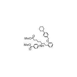 COC(=O)CCCCC(CCc1ccccc1OCc1ccc(C2CCCCC2)cc1)Nc1ccc(C(=O)OC)cc1